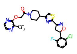 O=C(COc1nccnc1C(F)(F)F)N1CCC(c2csc(C3=NOC(c4c(F)cccc4Cl)C3)n2)CC1